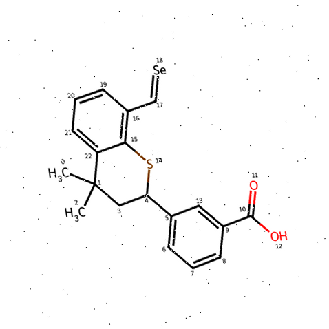 CC1(C)CC(c2cccc(C(=O)O)c2)Sc2c(C=[Se])cccc21